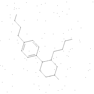 CCCCc1ccc(C2CCC(O)CC2CCCC)cc1